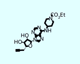 C#CC[C@H]1O[C@@H](n2cnc3c(NC4CCN(C(=O)OCC)CC4)ncnc32)[C@@H](O)[C@@H]1O